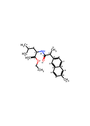 C=C(OCC)C(CC(C)C)NC(=O)C(C)c1ccc2cc(C)ccc2c1